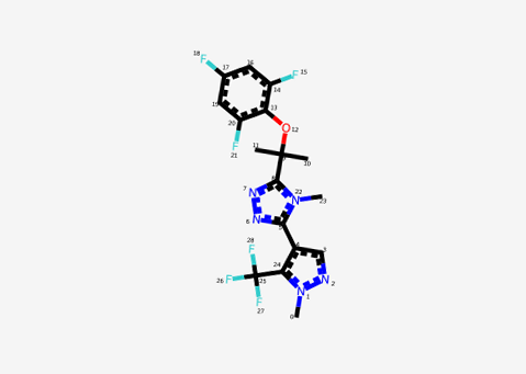 Cn1ncc(-c2nnc(C(C)(C)Oc3c(F)cc(F)cc3F)n2C)c1C(F)(F)F